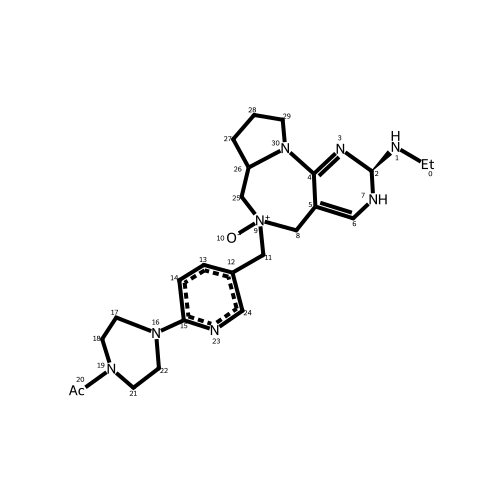 CCN[C@@H]1N=C2C(=CN1)C[N+]([O-])(Cc1ccc(N3CCN(C(C)=O)CC3)nc1)CC1CCCN21